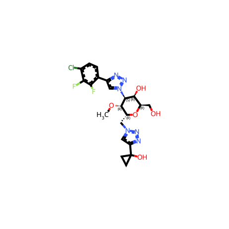 CO[C@@H]1[C@@H](n2cc(-c3ccc(Cl)c(F)c3F)nn2)[C@@H](O)[C@@H](CO)O[C@@H]1Cn1cc(C2(O)CC2)nn1